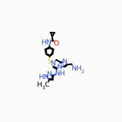 Cc1cc(NC2=CN(Sc3ccc(NC(=O)C4CC4)cc3)CC3=NC(CN)=C[N+]23)n[nH]1